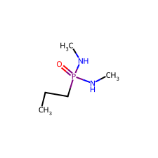 CCCP(=O)(NC)NC